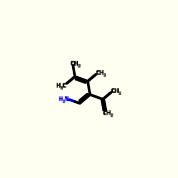 C=C(C)/C(=C/N)C(C)=C(C)C